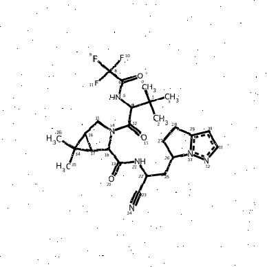 CC(C)(C)C(NC(=O)C(F)(F)F)C(=O)N1CC2C(C1C(=O)NC(C#N)CC1CCc3ccnn31)C2(C)C